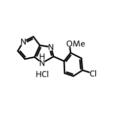 COc1cc(Cl)ccc1-c1nc2cnccc2[nH]1.Cl